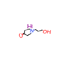 I.O=C1CCN(CCCO)CC1